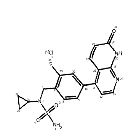 Cl.NS(=O)(=O)N(Cc1ccc(-c2ccnc3[nH]c(=O)ccc23)cc1F)C1CC1